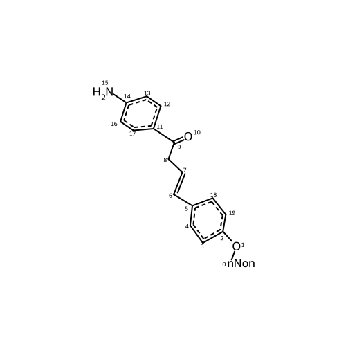 CCCCCCCCCOc1ccc(C=CCC(=O)c2ccc(N)cc2)cc1